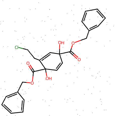 O=C(OCc1ccccc1)C1(O)C=CC(O)(C(=O)OCc2ccccc2)C(CCCl)=C1